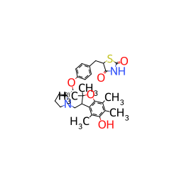 Cc1c(C)c2c(c(C)c1O)C(CN1CCC[C@@H]1COc1ccc(CC3SC(=O)NC3=O)cc1)C(C)(C)O2